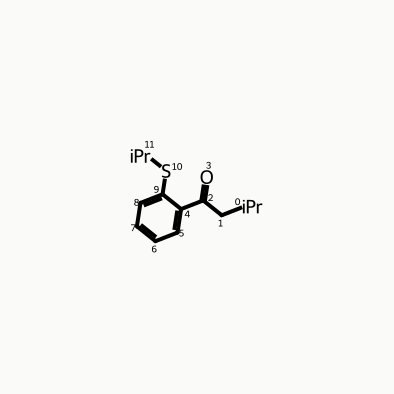 CC(C)CC(=O)c1ccccc1SC(C)C